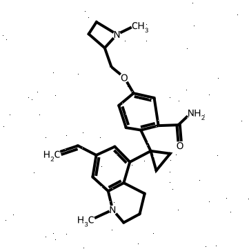 C=Cc1cc2c(c(C3(c4ccc(OCC5CCN5C)cc4C(N)=O)CC3)c1)CCCN2C